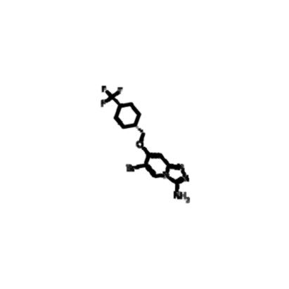 Nc1nnc2cc(OC[C@H]3CC[C@H](C(F)(F)F)CC3)c(Br)cn12